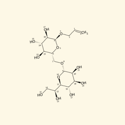 C=CCO[C@H]1O[C@H](CO[C@H]2O[C@H]([C@@H](O)CO)[C@@H](O)[C@H](O)[C@@H]2O)[C@@H](O)[C@H](O)[C@H]1O